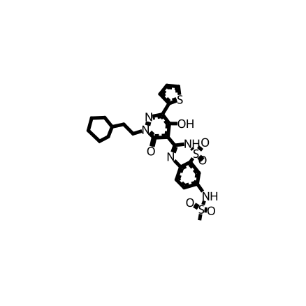 CS(=O)(=O)Nc1ccc2c(c1)S(=O)(=O)NC(c1c(O)c(-c3cccs3)nn(CCC3CCCCC3)c1=O)=N2